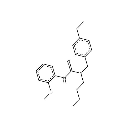 CCCCN(Cc1ccc(CC)cc1)C(=O)Nc1ccccc1OC